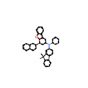 CC1(C)c2ccccc2-c2ccc(N(c3ccccc3)c3cc(-c4ccc5ccccc5c4)c4oc5ccccc5c4c3)cc21